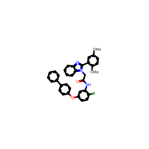 COc1ccc(OC)c(-c2nc3ccccc3n2CC(=O)Nc2cc(Oc3ccc(-c4ccccc4)cc3)ccc2F)c1